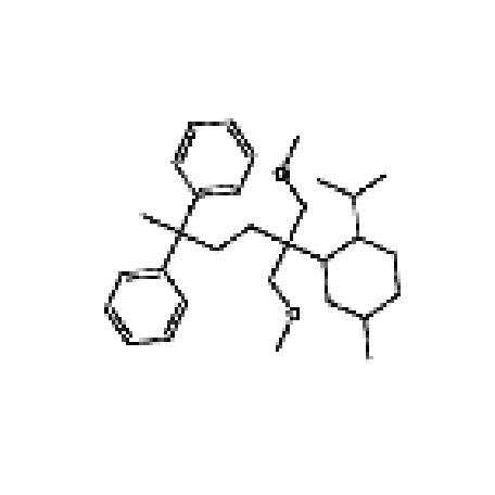 COCC(CCC(C)(c1ccccc1)c1ccccc1)(COC)C1CC(C)CCC1C(C)C